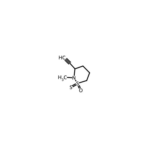 C#CC1CCCS(=O)(=S)N1C